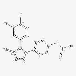 O=S(O)Cc1ccc(-c2ssc(=S)c2-c2ccc(F)c(F)c2)cc1